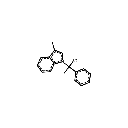 [CH2]CC(C)(c1ccccc1)n1cc(C)c2ccccc21